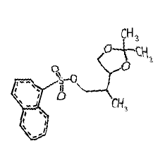 CC(COS(=O)(=O)c1cccc2ccccc12)C1COC(C)(C)O1